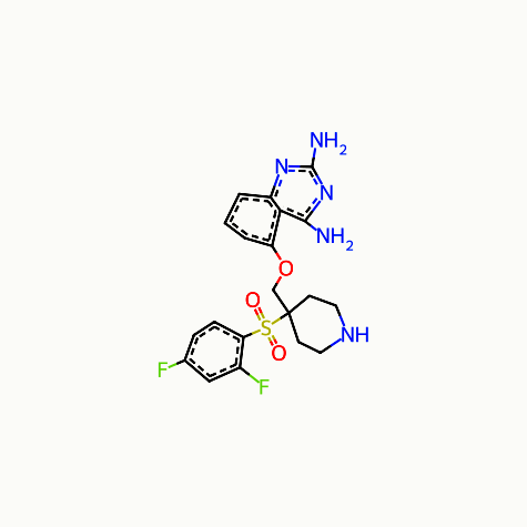 Nc1nc(N)c2c(OCC3(S(=O)(=O)c4ccc(F)cc4F)CCNCC3)cccc2n1